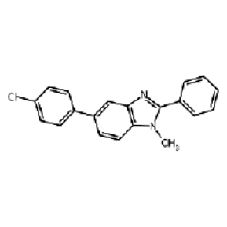 Cn1c(-c2ccccc2)nc2cc(-c3ccc(Cl)cc3)ccc21